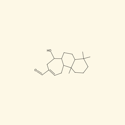 CC1(C)CCCC2(C)C3CC=C(C=O)CC(O)C3CCC12